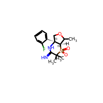 CC1OC[C@]2(c3ccccc3F)NC(=N)C(C)(C)S(=O)(=O)[C@H]12